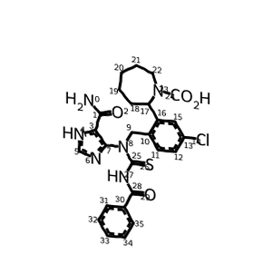 NC(=O)c1[nH]cnc1N(Cc1ccc(Cl)cc1C1CCCCCN1C(=O)O)C(=S)NC(=O)c1ccccc1